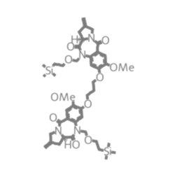 C=C1C[C@H]2C(=O)N(COCC[Si](C)(C)C)c3cc(OCCCOc4cc5c(cc4OC)C(=O)N4CC(=C)C[C@H]4C(=O)N5COCC[Si](C)(C)C)c(OC)cc3C(=O)N2C1